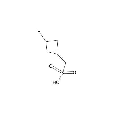 O=S(=O)(O)CC1CC(F)C1